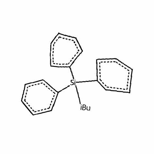 CCC(C)[Si](c1ccccc1)(c1ccccc1)c1ccccc1